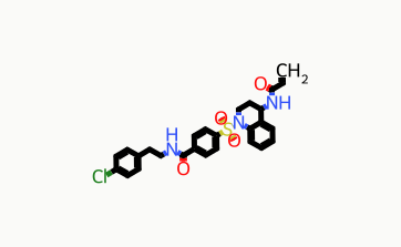 C=CC(=O)NC1CCN(S(=O)(=O)c2ccc(C(=O)NCCc3ccc(Cl)cc3)cc2)c2ccccc21